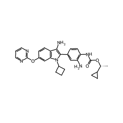 C[C@@H](OC(=O)Nc1ccc(-c2c(N)c3ccc(Oc4ncccn4)cc3n2C2CCC2)cc1N)C1CC1